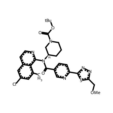 COCc1nnc(-c2ccc(C(=O)N(c3nccc4cc(Cl)cc(C)c34)[C@@H]3CCCN(C(=O)OC(C)(C)C)C3)cn2)s1